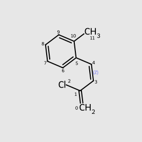 C=C(Cl)/C=C\c1ccccc1C